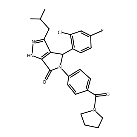 CC(C)Cc1n[nH]c2c1C(c1ccc(F)cc1Cl)N(c1ccc(C(=O)N3CCCC3)cc1)C2=O